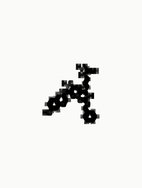 C[C@H](NC(=O)[C@H](CCCNC(=N)N)NC(=O)OCc1ccccc1)C(=O)N[C@H](C=O)Cc1ccc(O)cc1